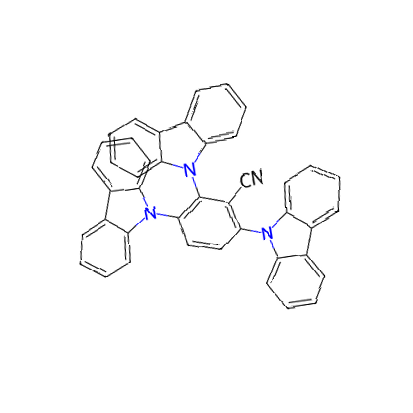 N#Cc1c(-n2c3ccccc3c3ccccc32)ccc(-n2c3ccccc3c3ccccc32)c1-n1c2ccccc2c2ccccc21